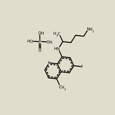 Cc1ccnc2c(NC(C)CCCN)cc(F)cc12.O=P(O)(O)O